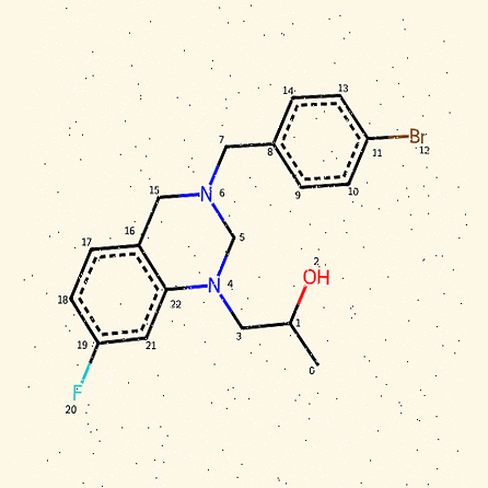 CC(O)CN1CN(Cc2ccc(Br)cc2)Cc2ccc(F)cc21